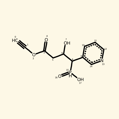 C#COC(=O)CC(O)C(c1cccnc1)[PH](=O)O